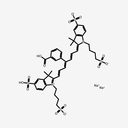 CC1(C)C(/C=C/C=C(/C=C/C=C2/N(CCCCS(=O)(=O)[O-])c3ccc(S(=O)(=O)[O-])cc3C2(C)C)c2cccc(C(=O)O)c2)=[N+](CCCCS(=O)(=O)[O-])c2ccc(S(=O)(=O)O)cc21.[Na+].[Na+]